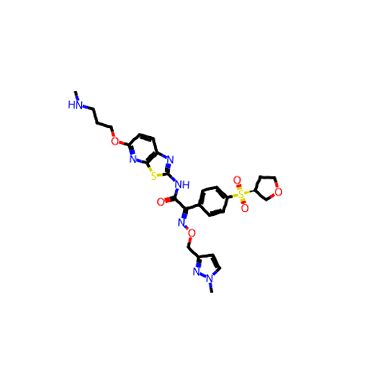 CNCCCOc1ccc2nc(NC(=O)/C(=N/OCc3ccn(C)n3)c3ccc(S(=O)(=O)[C@H]4CCOC4)cc3)sc2n1